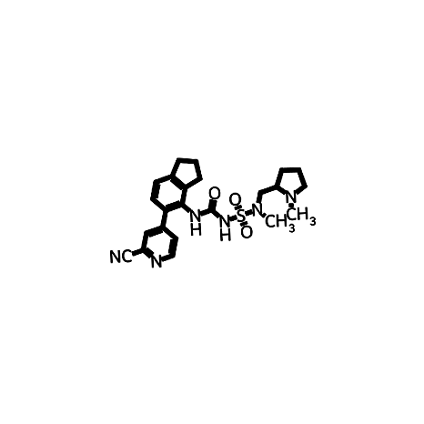 CN1CCCC1CN(C)S(=O)(=O)NC(=O)Nc1c(-c2ccnc(C#N)c2)ccc2c1CCC2